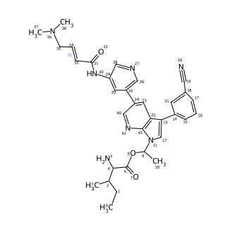 CCC(C)C(N)C(=O)OC(C)n1cc(-c2cccc(C#N)c2)c2cc(-c3cncc(NC(=O)/C=C/CN(C)C)c3)cnc21